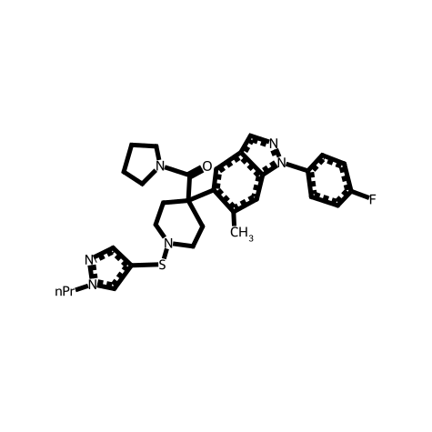 CCCn1cc(SN2CCC(C(=O)N3CCCC3)(c3cc4cnn(-c5ccc(F)cc5)c4cc3C)CC2)cn1